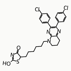 O=C1N=C(O)SC1CCCCCCN1CCCc2nc(-c3ccc(Cl)cc3)c(-c3ccc(Cl)cc3)nc21